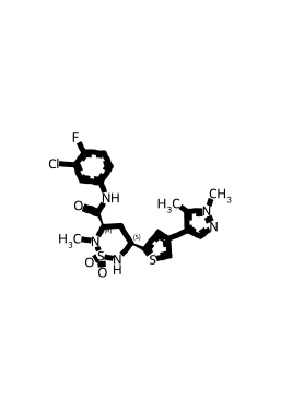 Cc1c(-c2csc([C@@H]3C[C@H](C(=O)Nc4ccc(F)c(Cl)c4)N(C)S(=O)(=O)N3)c2)cnn1C